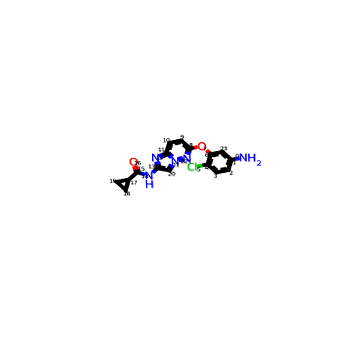 Nc1ccc(Cl)c(Oc2ccc3nc(NC(=O)C4CC4)cn3n2)c1